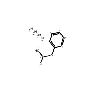 OB(O)Oc1ccccc1.[LiH].[LiH].[LiH].[LiH]